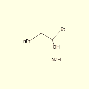 CCCCC(O)CC.[NaH]